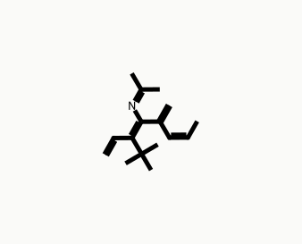 C=C/C(=C(\N=C(C)C)C(=C)/C=C\C)C(C)(C)C